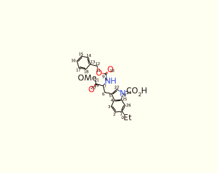 CCc1ccc2c(CC(NC(=O)OCc3ccccc3)C(=O)OC)cn(C(=O)O)c2c1